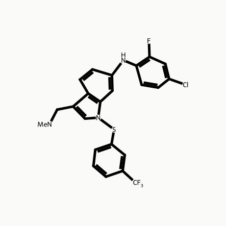 CNCc1cn(Sc2cccc(C(F)(F)F)c2)c2cc(Nc3ccc(Cl)cc3F)ccc12